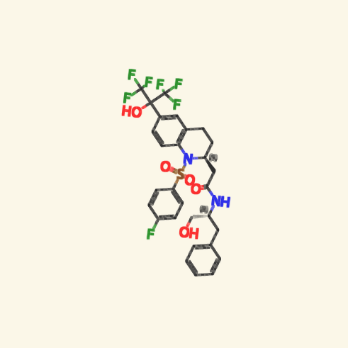 O=C(C[C@@H]1CCc2cc(C(O)(C(F)(F)F)C(F)(F)F)ccc2N1S(=O)(=O)c1ccc(F)cc1)N[C@@H](CO)Cc1ccccc1